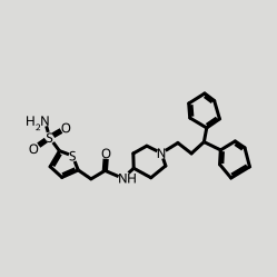 NS(=O)(=O)c1ccc(CC(=O)NC2CCN(CCC(c3ccccc3)c3ccccc3)CC2)s1